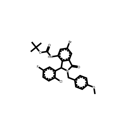 COc1ccc(CN2C(=O)c3cc(Br)cc(NC(=O)OC(C)(C)C)c3C2c2cc(F)ccc2Cl)cc1